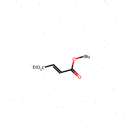 CCOC(=O)C=CC(=O)OC(C)(C)C